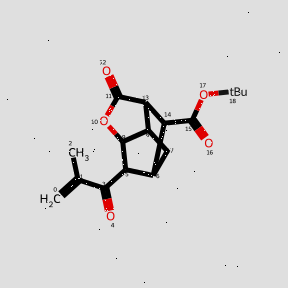 C=C(C)C(=O)C1C2CC3C1OC(=O)C3C2C(=O)OC(C)(C)C